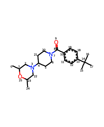 CC1CN(C2CCN(C(=O)c3ccc(C(C)(C)C)cc3)CC2)CC(C)O1